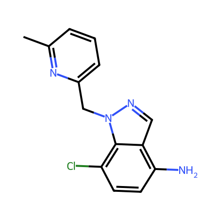 Cc1cccc(Cn2ncc3c(N)ccc(Cl)c32)n1